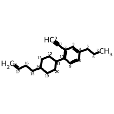 C#Cc1cc(CCC)ccc1C1CCC(CCC=C)CC1